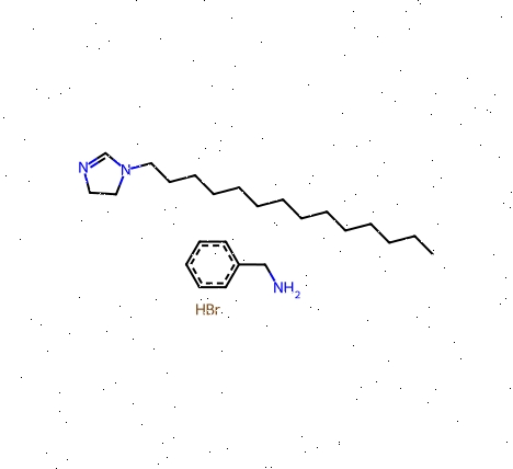 Br.CCCCCCCCCCCCCCN1C=NCC1.NCc1ccccc1